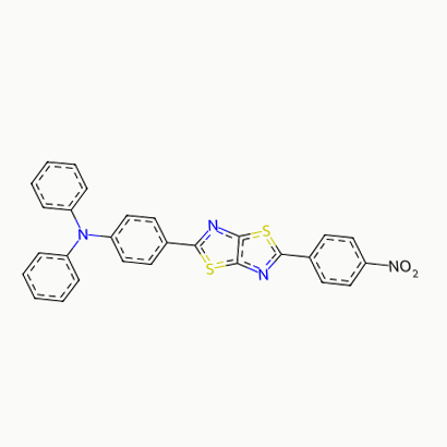 O=[N+]([O-])c1ccc(-c2nc3sc(-c4ccc(N(c5ccccc5)c5ccccc5)cc4)nc3s2)cc1